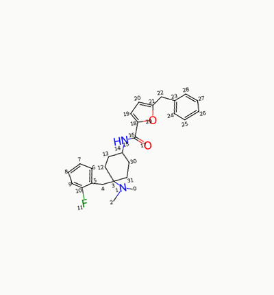 CN(C)C1(Cc2ccccc2F)CCC(NC(=O)c2ccc(Cc3ccccc3)o2)CC1